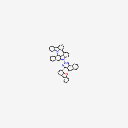 c1ccc2c(c1)ccc1c(-c3cccc4c3oc3ccccc34)nc(-n3c4cccc5c6cccc7c8ccccc8n(c67)c6c7ccccc7cc3c6c54)nc12